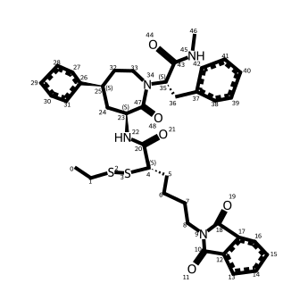 CCSS[C@@H](CCCCN1C(=O)c2ccccc2C1=O)C(=O)N[C@H]1C[C@@H](c2ccccc2)CCN([C@@H](Cc2ccccc2)C(=O)NC)C1=O